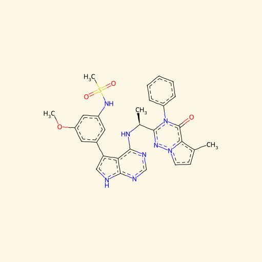 COc1cc(NS(C)(=O)=O)cc(-c2c[nH]c3ncnc(N[C@@H](C)c4nn5ccc(C)c5c(=O)n4-c4ccccc4)c23)c1